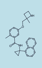 Cc1ccc(OCC2(C)CCN2)cc1C(=O)NC1(c2cccc3ccccc23)CC1